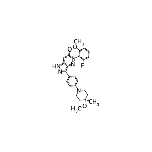 COc1cccc(F)c1-n1nc2c(-c3ccc(N4CCC(C)(OC)CC4)cc3)n[nH]c2cc1=O